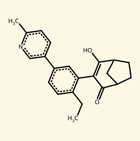 CCc1ccc(-c2ccc(C)nc2)cc1C1=C(O)C2CCC(C2)C1=O